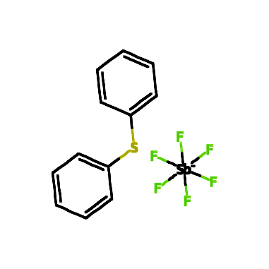 [F][Sb-]([F])([F])([F])([F])[F].c1ccc(Sc2ccccc2)cc1